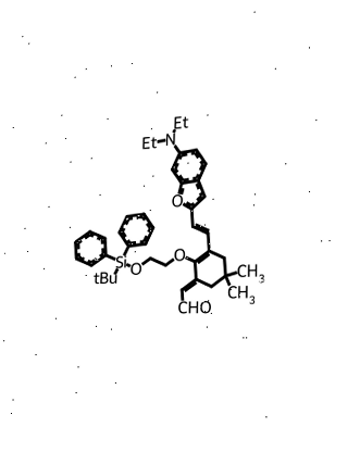 CCN(CC)c1ccc2cc(/C=C/C3=C(OCCO[Si](c4ccccc4)(c4ccccc4)C(C)(C)C)C(=C/C=O)/CC(C)(C)C3)oc2c1